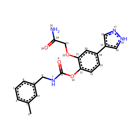 Cc1cccc(CNC(=O)Oc2ccc(-c3cn[nH]c3)cc2OCC(N)=O)c1